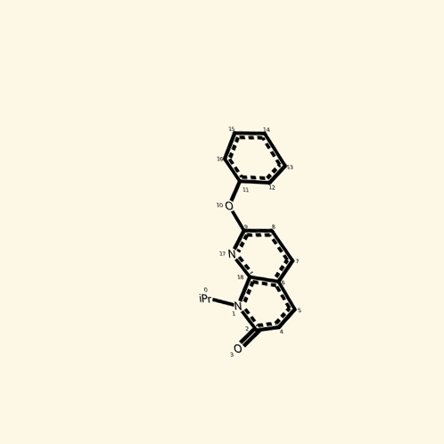 CC(C)n1c(=O)ccc2ccc(Oc3ccccc3)nc21